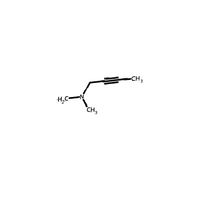 [CH2]N(C)CC#CC